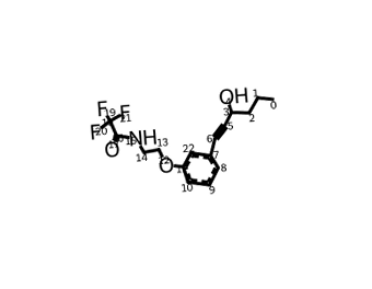 CCCC(O)C#Cc1cccc(OCCNC(=O)C(F)(F)F)c1